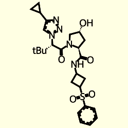 CC(C)(C)[C@@H](C(=O)N1C[C@H](O)C[C@H]1C(=O)NC1CC(S(=O)(=O)c2ccccc2)C1)n1cc(C2CC2)nn1